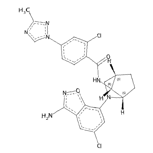 Cc1ncn(-c2ccc(C(=O)N[C@@H]3[C@H]4CC[C@@H]3N(c3cc(Cl)cc5c(N)noc35)C4)c(Cl)c2)n1